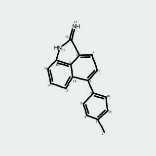 Cc1ccc(-c2ccc3c4c(cccc24)NC3=N)cc1